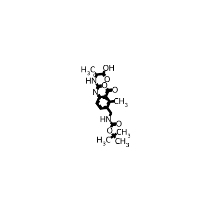 Cc1c(CNC(=O)OC(C)(C)C)ccc2nc(N[C@@H](C)C(=O)O)oc(=O)c12